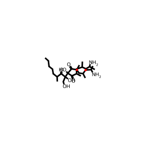 CCCCCC(C)C(=O)C(O)(CO)C(O)(C(=O)C(C)CC(C)CC(C)N)C(=O)C(C)CC(C)CC(C)N